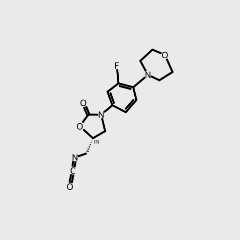 O=C=NC[C@H]1CN(c2ccc(N3CCOCC3)c(F)c2)C(=O)O1